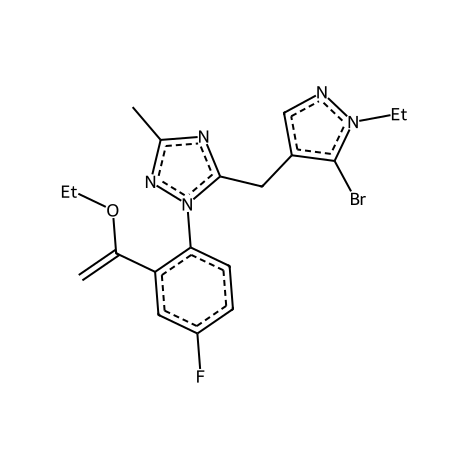 C=C(OCC)c1cc(F)ccc1-n1nc(C)nc1Cc1cnn(CC)c1Br